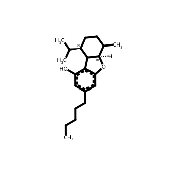 CCCCCc1cc(O)c2c(c1)O[C@@H]1C(C)CC[C@H](C(C)C)C21